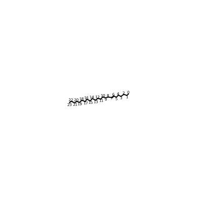 CCCCCCC=CCCCCCCCCCCCCCCCC